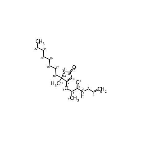 C=CCNC(=O)C(C)OC1=CC(=O)SC1(C)CCCCCCCC